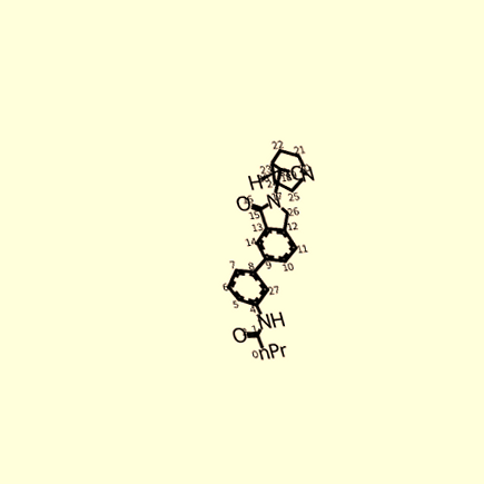 CCCC(=O)Nc1cccc(-c2ccc3c(c2)C(=O)N([C@H]2CN4CCC2CC4)C3)c1